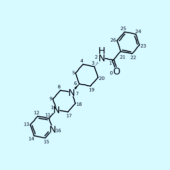 O=C(N[C@H]1CC[C@H](N2CCN(c3ccccn3)CC2)CC1)c1ccccc1